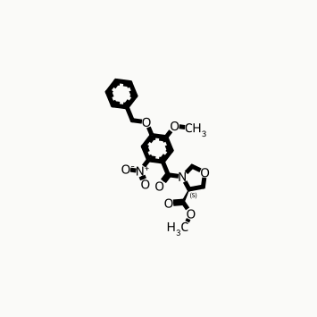 COC(=O)[C@@H]1COCN1C(=O)c1cc(OC)c(OCc2ccccc2)cc1[N+](=O)[O-]